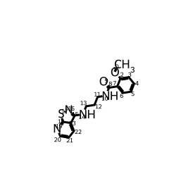 COc1ccccc1C(=O)NCCCNc1nsc2ncccc12